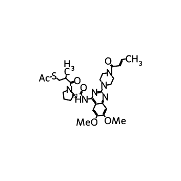 CC=CC(=O)N1CCN(c2nc(NC(=O)[C@@H]3CCCN3C(=O)C(C)CSC(C)=O)c3cc(OC)c(OC)cc3n2)CC1